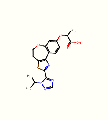 CC(Oc1ccc2c(c1)OCCc1sc(-c3ncnn3C(C)C)nc1-2)C(=O)O